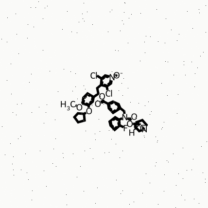 COc1ccc(C(Cc2c(Cl)c[n+]([O-])cc2Cl)OC(=O)c2ccc(CN(C(=O)O[C@H]3CN4CCC3CC4)c3ccccc3F)cc2)cc1OC1CCCC1